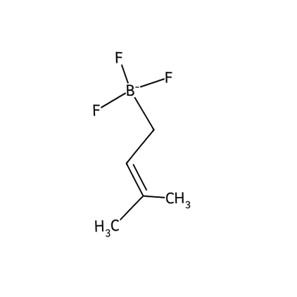 CC(C)=CC[B-](F)(F)F